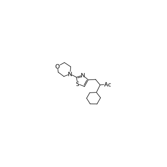 CC(=O)C(Cc1csc(N2CCOCC2)n1)C1CCCCC1